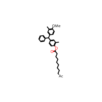 COc1ccc(C(c2ccccc2)c2ccc(OC(=O)CCCCCCCCC(C)=O)c(C)c2)cc1C